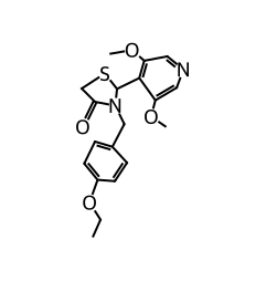 CCOc1ccc(CN2C(=O)CSC2c2c(OC)cncc2OC)cc1